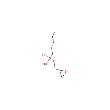 CCCCCC(O)(O)OCC1CO1